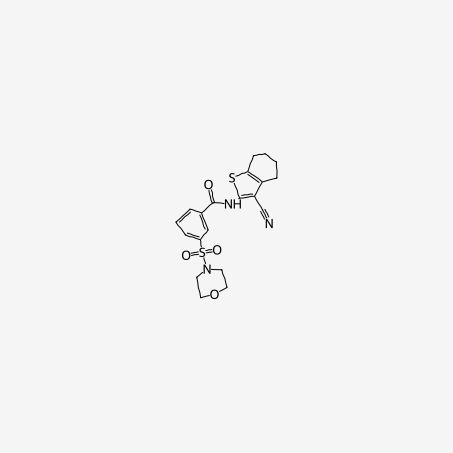 N#Cc1c(NC(=O)c2cccc(S(=O)(=O)N3CCOCC3)c2)sc2c1CCCC2